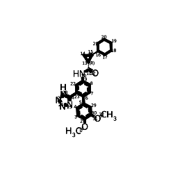 COc1ccc(-c2ccc(NC(=O)[C@@H]3C[C@H]3C3CCCCC3)cc2-c2nnn[nH]2)cc1OC